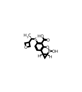 C[C@H](Sc1ccc2c(c1C(=O)O)OB(O)[C@@H]1C[C@H]21)C1COC1